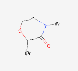 CC(C)C1OCCN(C(C)C)C1=O